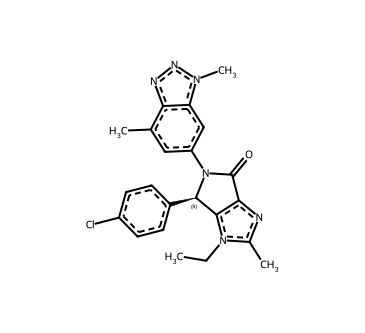 CCn1c(C)nc2c1[C@@H](c1ccc(Cl)cc1)N(c1cc(C)c3nnn(C)c3c1)C2=O